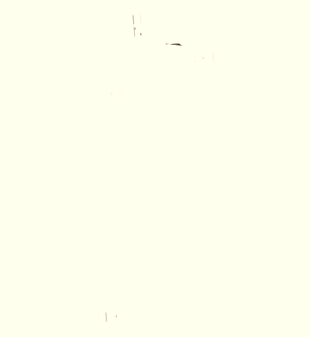 CCCCCCCCc1ccc(O[C@@H]2CN[C@@H](CO)C2)cc1